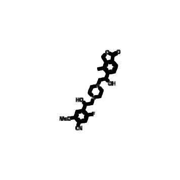 COc1cc(C(O)CN2CCN(CC(O)c3ccc4c(c3C)COC4=O)CC2)c(F)cc1C#N